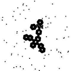 C1=CC(c2nc3ccccc3n2-c2ccccc2)CC=C1C1=CCC2C(=C1)C(c1ccc3ccccc3c1)=c1ccccc1=C2c1ccc2ccccc2c1